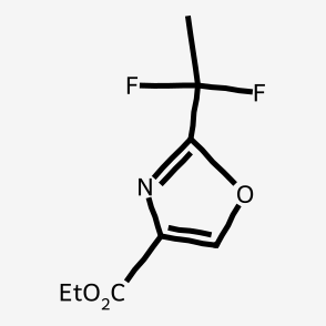 CCOC(=O)c1coc(C(C)(F)F)n1